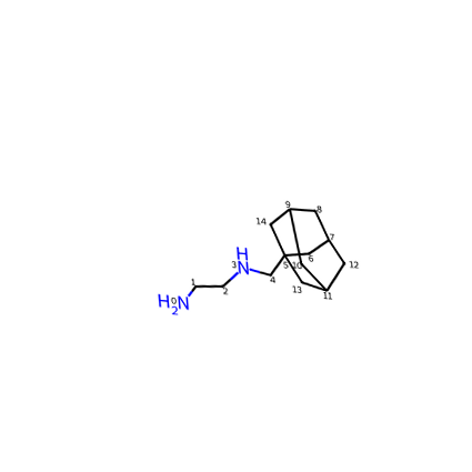 NCCNCC12CC3CC(CC(C3)C1)C2